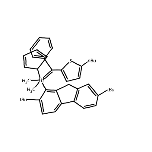 CCCCc1ccc([C](c2ccccc2)=[Hf]([CH3])([CH3])([c]2c(C(C)(C)C)ccc3c2Cc2cc(C(C)(C)C)ccc2-3)[CH]2C=CC=C2)s1